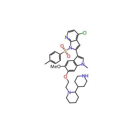 COc1cc2c(-c3cc4c(Cl)ccnc4n3S(=O)(=O)c3ccc(C)cc3)cn(C)c2cc1OCCN1CCCCC1C1CCNCC1